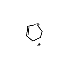 C1=CNCCC1.[LiH]